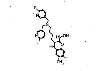 Cc1cc(NC(CCCCN(Cc2ccc(F)nc2)Cc2ccc(F)nc2)C(=O)NO)ccc1F